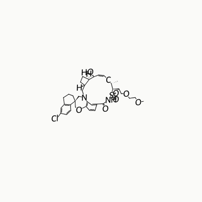 COCCOCC[C@@H]1[C@@H](C)C/C=C\[C@H](O)[C@@H]2CC[C@H]2CN2C[C@@]3(CCCc4cc(Cl)ccc43)COc3ccc(cc32)C(=O)NS1(=O)=O